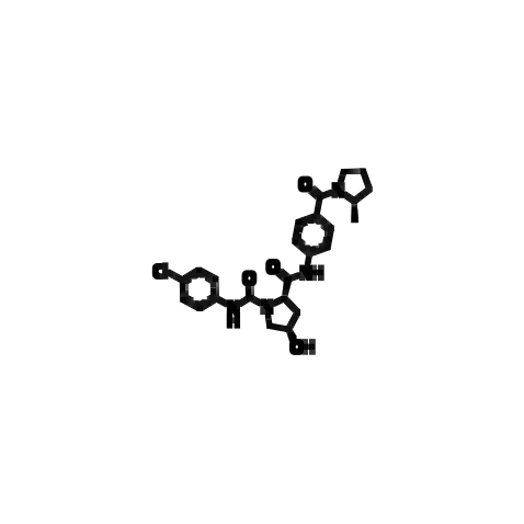 C[C@@H]1CCCN1C(=O)c1ccc(NC(=O)[C@H]2C[C@@H](O)CN2C(=O)Nc2ccc(Cl)cc2)cc1